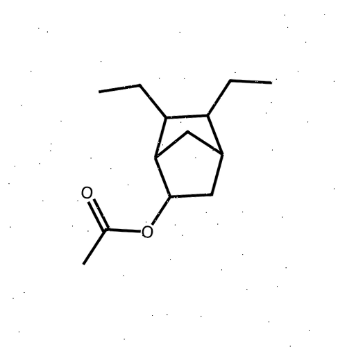 CCC1C2CC(OC(C)=O)C(C2)C1CC